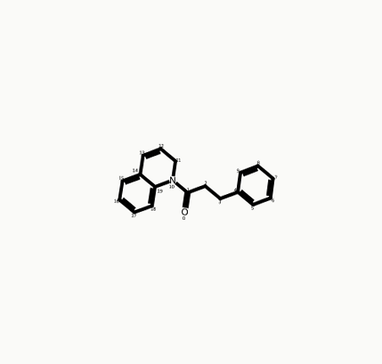 O=C(CCc1ccccc1)N1CC=Cc2ccccc21